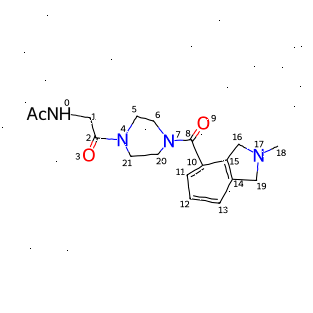 CC(=O)NCC(=O)N1CCN(C(=O)c2cccc3c2CN(C)C3)CC1